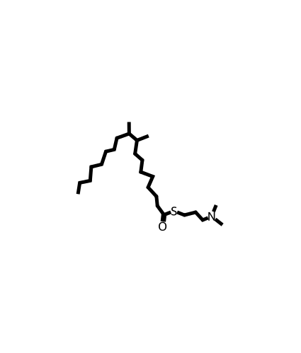 CCCCCCCCC(C)C(C)CCCCCCCC(=O)SCCCN(C)C